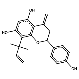 C=CC(C)(C)c1c(O)cc(O)c2c1OC(c1ccc(O)cc1)CC2=O